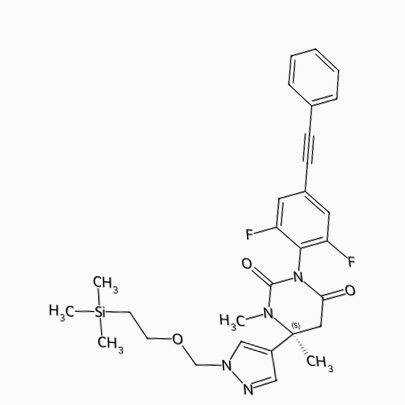 CN1C(=O)N(c2c(F)cc(C#Cc3ccccc3)cc2F)C(=O)C[C@@]1(C)c1cnn(COCC[Si](C)(C)C)c1